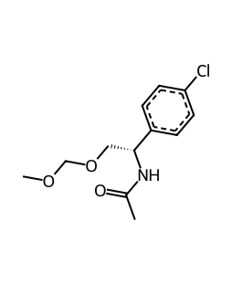 COCOC[C@@H](NC(C)=O)c1ccc(Cl)cc1